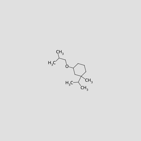 CC(C)COC1CCCC(C)(C(C)C)C1